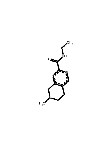 CCNC(=O)c1ncc2c(n1)CN(C)CC2